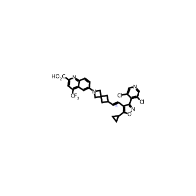 O=C(O)c1cc(C(F)(F)F)c2cc(N3CC4(CC(/C=C/c5c(-c6c(Cl)cncc6Cl)noc5C5CC5)C4)C3)ccc2n1